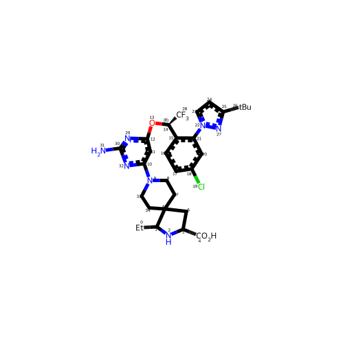 CCC1NC(C(=O)O)CC12CCN(c1cc(O[C@H](c3ccc(Cl)cc3-n3ccc(C(C)(C)C)n3)C(F)(F)F)nc(N)n1)CC2